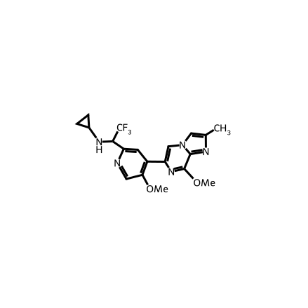 COc1cnc(C(NC2CC2)C(F)(F)F)cc1-c1cn2cc(C)nc2c(OC)n1